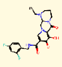 CC(C)CN1CCCN2C(=O)c3c(O)c(=O)c(C(=O)NCc4ccc(F)cc4F)cn3CC12